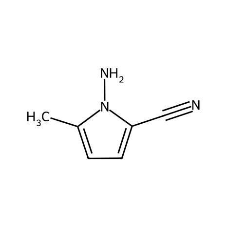 Cc1ccc(C#N)n1N